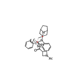 CC(=O)N1CC(C(=O)N[C@@H](CCN2C3CCC2CC(n2c(C(F)(F)F)nc4ccccc42)C3)c2ccccc2)C1